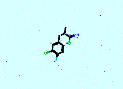 CC(Cc1ccc(F)c(Cl)c1)C(=N)Cl